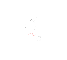 CCC1(OC(C)=O)CCCCCCC(C(=O)OCc2ccccc2)CCCCC1